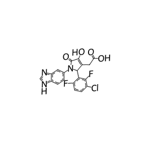 O=C(O)CC1=C(O)C(=O)N(c2ccc3[nH]cnc3c2)C1c1c(F)ccc(Cl)c1F